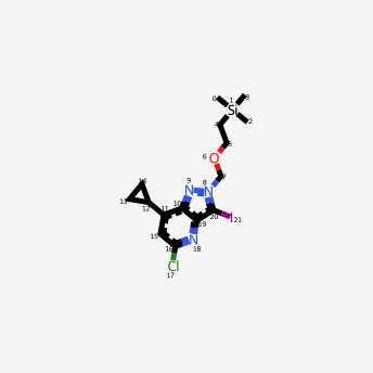 C[Si](C)(C)CCOCn1nc2c(C3CC3)cc(Cl)nc2c1I